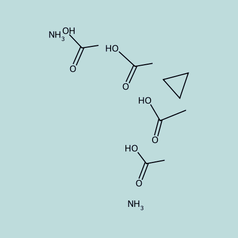 C1CC1.CC(=O)O.CC(=O)O.CC(=O)O.CC(=O)O.N.N